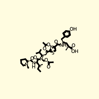 CC[C@H](C)[C@H](NC(=O)[C@H]1CCCCN1C)C(=O)N(COC(C)=O)[C@H](C[C@@H](OC(C)=O)c1nc(C(=O)N[C@@H](Cc2ccc(O)cc2)C[C@H](C)C(=O)O)cs1)C(C)C